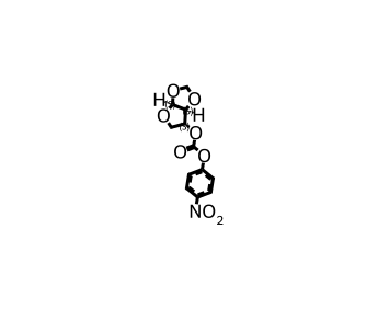 O=C(Oc1ccc([N+](=O)[O-])cc1)O[C@H]1CO[C@H]2OCO[C@H]21